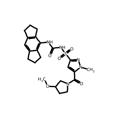 COC1CCN(C(=O)c2cc(S(=O)(=O)NC(=O)Nc3c4c(cc5c3CCC5)CCC4)nn2C)C1